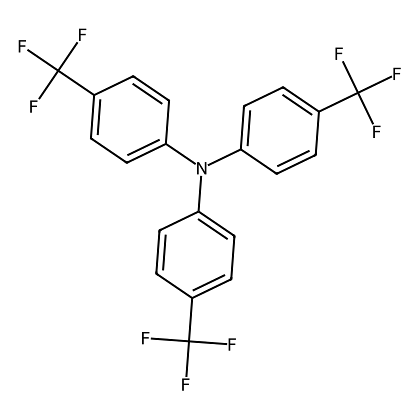 FC(F)(F)c1ccc(N(c2ccc(C(F)(F)F)cc2)c2ccc(C(F)(F)F)cc2)cc1